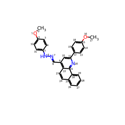 COc1ccc(NN=Cc2cc(-c3ccc(OC)cc3)nc3c2ccc2ccccc23)cc1